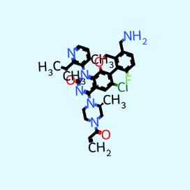 C=CC(=O)N1CCN(c2nc(=O)n(-c3c(C)ccnc3C(C)C)c3c4c(c(Cl)cc23)-c2c(F)ccc(CN)c2CO4)[C@@H](C)C1